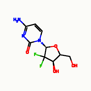 Nc1ccn([C@@H]2OC(CO)[C@@H](O)C2(F)F)c(=O)n1